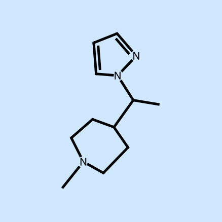 CC(C1CCN(C)CC1)n1cccn1